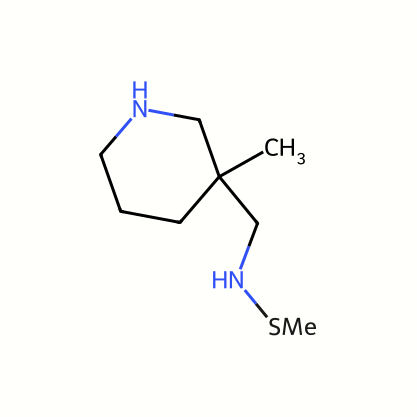 CSNCC1(C)CCCNC1